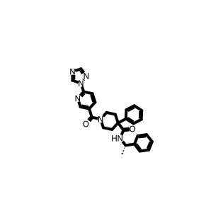 C[C@H](NC(=O)C1(c2ccccc2)CCN(C(=O)c2ccc(-n3cncn3)nc2)CC1)c1ccccc1